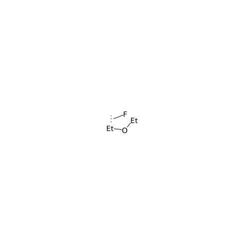 CCOCC.[C]F